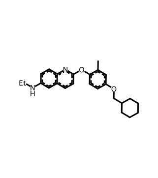 CCNc1ccc2nc(Oc3ccc(OCC4CCCCC4)cc3C)ccc2c1